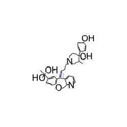 CC1CN(CC/C=C2/c3cc(C(C)(O)O)ccc3OCc3ncccc32)CCC1(O)c1ccc(O)cc1